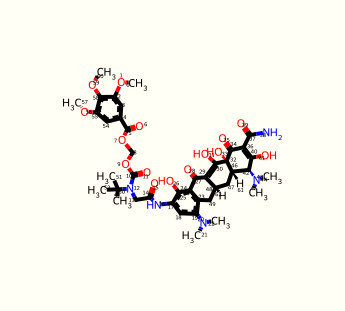 COc1cc(C(=O)OCOC(=O)N(CC(=O)Nc2cc(N(C)C)c3c(c2O)C(=O)C2=C(O)[C@]4(O)C(=O)C(C(N)=O)=C(O)[C@@H](N(C)C)[C@@H]4C[C@@H]2C3)C(C)(C)C)cc(OC)c1OC